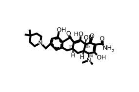 CN(C)[C@@H]1C(O)=C(C(N)=O)C(=O)[C@@]2(O)C(O)=C3C(=O)c4c(O)cc(CN5CCC(C)(C)CC5)cc4C[C@H]3C[C@@H]12